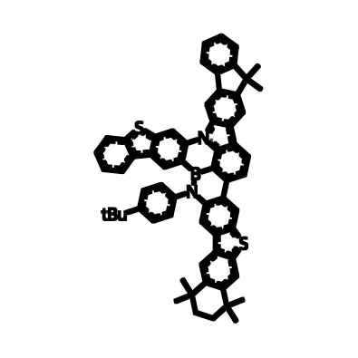 CC(C)(C)c1ccc(N2B3c4cc5c(cc4-n4c6cc7c(cc6c6ccc(c3c64)-c3cc4sc6cc8c(cc6c4cc32)C(C)(C)CCC8(C)C)C(C)(C)c2ccccc2-7)sc2ccccc25)cc1